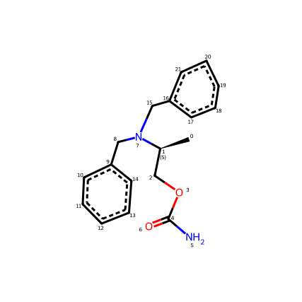 C[C@@H](COC(N)=O)N(Cc1ccccc1)Cc1ccccc1